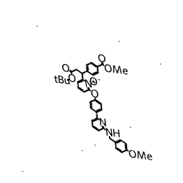 COC(=O)c1ccc(C(CC(=O)OC(C)(C)C)c2cccc(Oc3ccc(-c4cccc(NCc5ccc(OC)cc5)n4)cc3)[n+]2[O-])cc1